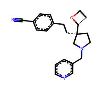 N#Cc1ccc(CC[C@]2([C@H]3CCO3)CCN(Cc3cccnc3)C2)cc1